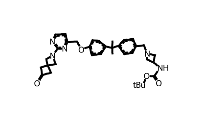 CC(C)(C)OC(=O)NC1CN(Cc2ccc(C(C)(C)c3ccc(OCc4ccnc(N5CC6(CC(=O)C6)C5)n4)cc3)cc2)C1